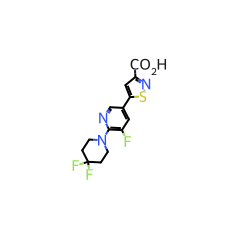 O=C(O)c1cc(-c2cnc(N3CCC(F)(F)CC3)c(F)c2)sn1